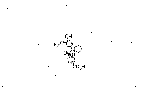 O=C(O)N1CCN(C(=O)C(c2ccc(O)c(OC(F)(F)F)c2)C2(O)CCCCC2)CC1